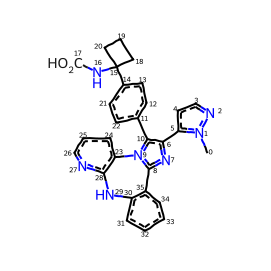 Cn1nccc1-c1nc2n(c1-c1ccc(C3(NC(=O)O)CCC3)cc1)-c1cccnc1Nc1ccccc1-2